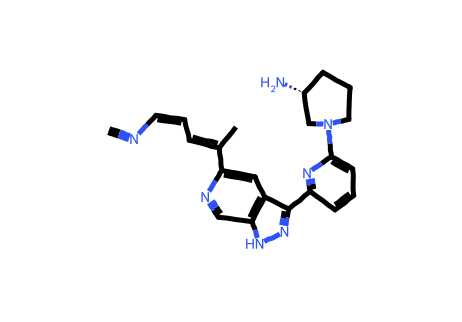 C=N/C=C\C=C(/C)c1cc2c(-c3cccc(N4CCC[C@@H](N)C4)n3)n[nH]c2cn1